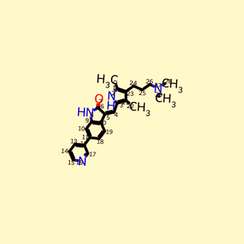 Cc1[nH]c(/C=C2\C(=O)Nc3cc(-c4cccnc4)ccc32)c(C)c1CCCN(C)C